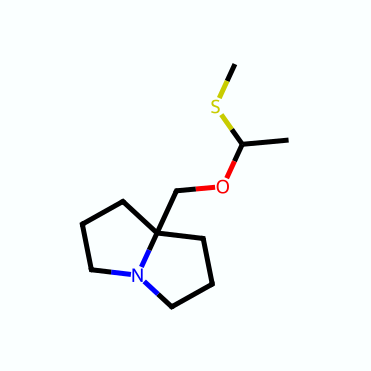 CSC(C)OCC12CCCN1CCC2